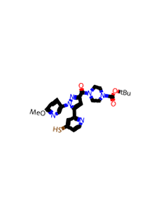 COc1ccc(-n2nc(C(=O)N3CCN(C(=O)OC(C)(C)C)CC3)cc2-c2cc(S)ccn2)cn1